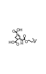 C[Si](C)(C)CCOC(=O)NC1CN(C(=O)O)CC1C(=O)O